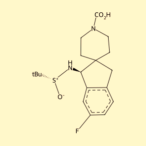 CC(C)(C)[S@@+]([O-])N[C@@H]1c2cc(F)ccc2CC12CCN(C(=O)O)CC2